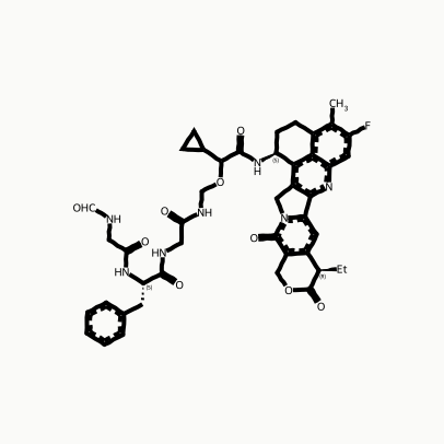 CC[C@H]1C(=O)OCc2c1cc1n(c2=O)Cc2c-1nc1cc(F)c(C)c3c1c2[C@@H](NC(=O)C(OCNC(=O)CNC(=O)[C@H](Cc1ccccc1)NC(=O)CNC=O)C1CC1)CC3